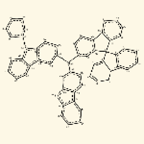 CC1CC=CC=C1C1(c2ccccc2)c2ccccc2-c2ccc(N(c3ccc4c(c3)oc3ccccc34)c3ccc4c(c3)c3ccccc3n4-c3ccccc3)cc21